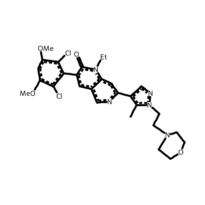 CCn1c(=O)c(-c2c(Cl)c(OC)cc(OC)c2Cl)cc2cnc(-c3cnn(CCN4CCOCC4)c3C)cc21